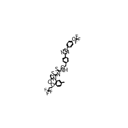 Cc1ccc(OCCC(F)(F)F)c(N2C(=O)CS/C2=N\C(=S)NOCc2ccc(-c3ncn(-c4ccc(OC(F)(F)F)cc4)n3)cc2)c1